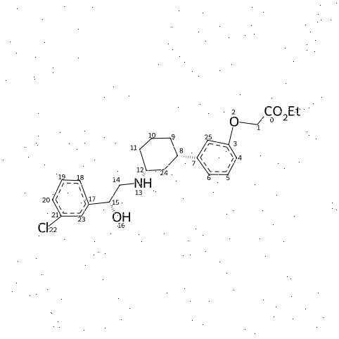 CCOC(=O)COc1cccc([C@H]2CCC[C@@H](NC[C@H](O)c3cccc(Cl)c3)C2)c1